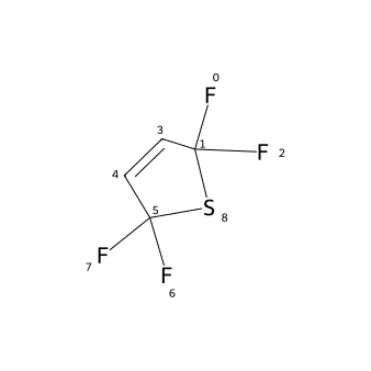 FC1(F)C=CC(F)(F)S1